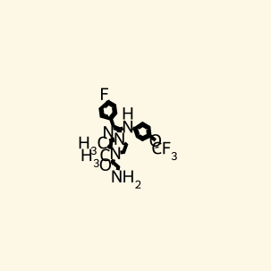 CC1(C)c2nc(-c3ccc(F)cc3)c(Nc3ccc(OC(F)(F)F)cc3)n2CCN1C(=O)CN